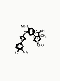 CCc1ccc(N2CC(Oc3cc([C@@H]4CN(C=O)C[C@@]4(C)C(C)O)ccc3OC)C2)nc1C